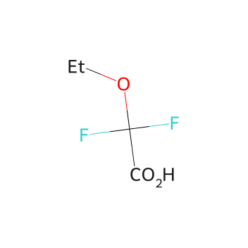 CCOC(F)(F)C(=O)O